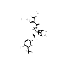 COc1nn(C)cc1C(=O)N[C@@H]1C2CCC(/C2=C/C(F)(F)F)[C@@H]1C(=O)Nc1ccc(F)c(C(F)(F)F)c1